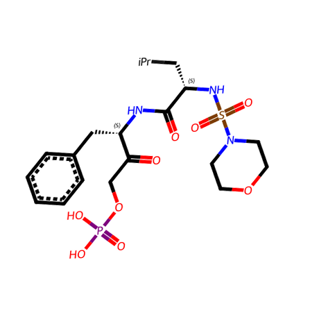 CC(C)C[C@H](NS(=O)(=O)N1CCOCC1)C(=O)N[C@@H](Cc1ccccc1)C(=O)COP(=O)(O)O